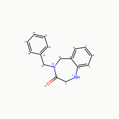 O=C1CNc2ccccc2CN1Cc1ccccc1